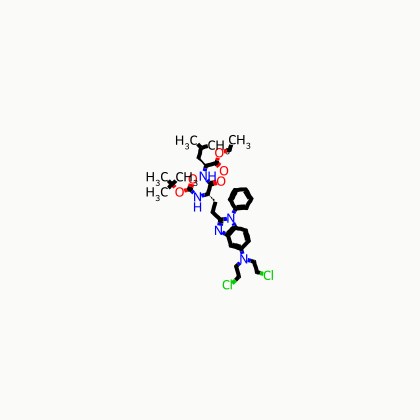 CCOC(=O)[C@H](CC(C)C)NC(=O)[C@H](CCc1nc2cc(N(CCCl)CCCl)ccc2n1-c1ccccc1)NC(=O)OC(C)(C)C